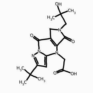 CC(C)(O)CN1Cc2c(n(CC(=O)O)c3cc(C(C)(C)C)nn3c2=O)C1=O